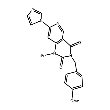 COc1ccc(Cn2c(=O)c3cnc(-n4ccnc4)nc3n(C(C)C)c2=O)cc1